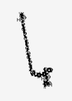 CCN(c1cc(-c2ccc(CN3CCN(CCOCCOCCOCCOCCOCCOCCOCCOCCOCCOCCNC(=O)OC(C)(C)C)CC3)cc2)cc(C(=O)NCc2c(C)cc(C)[nH]c2=O)c1C)C1CCOCC1